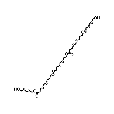 O=C(CCSCSCCCOOCSCSCO)OCCSCSCCOOCCCSCSCCC(=O)OCSCSCO